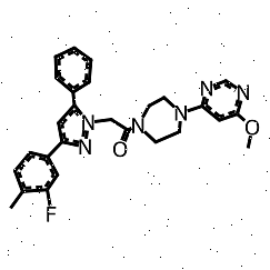 COc1cc(N2CCN(C(=O)Cn3nc(-c4ccc(C)c(F)c4)cc3-c3ccccc3)CC2)ncn1